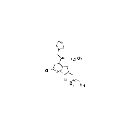 Cl.Cl.N[C@H](CO)Cc1sc2c(NCc3cccs3)cc(Cl)nc2c1Cl